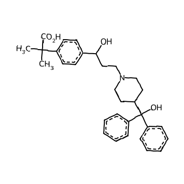 CC(C)(C(=O)O)c1ccc(C(O)CCN2CCC(C(O)(c3ccccc3)c3ccccc3)CC2)cc1